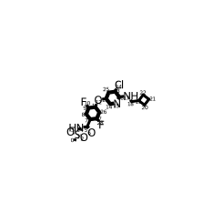 CS(=O)(=O)NC(=O)c1cc(F)c(Oc2cnc(NCC3CCC3)c(Cl)c2)cc1F